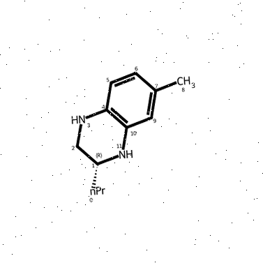 CCC[C@@H]1CNc2ccc(C)cc2N1